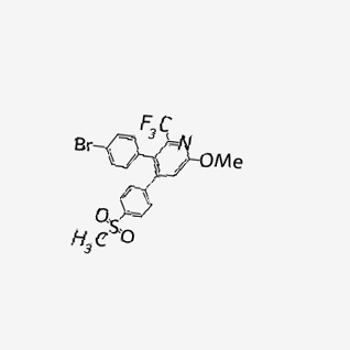 COc1cc(-c2ccc(S(C)(=O)=O)cc2)c(-c2ccc(Br)cc2)c(C(F)(F)F)n1